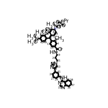 CCCS(=O)(=O)O/[N+](C)=C1\C=CC2=C(c3ccc(C(=O)NCCCn4cc(-c5cccc(Nc6ncnc7ccccc67)c5)nn4)cc3C)c3ccc(N(C)C)cc3[Si](C)(C)C2=C1